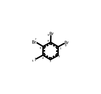 Brc1ccc(I)c(Br)c1Br